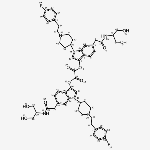 O=C(Cc1ccc2c(OC(=O)C(=O)Oc3cn(C4CCN(CCc5ccc(F)cc5)CC4)c4cc(CC(=O)NC(CO)CO)ccc34)cn(C3CCN(CCc4ccc(F)cc4)CC3)c2c1)NC(CO)CO